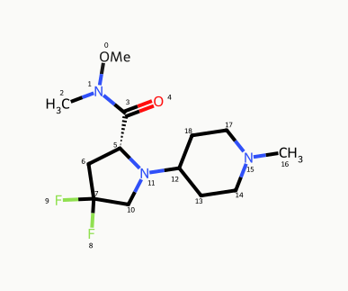 CON(C)C(=O)[C@H]1CC(F)(F)CN1C1CCN(C)CC1